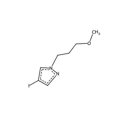 COCCCn1cc(I)cn1